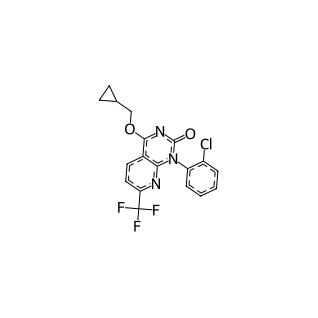 O=c1nc(OCC2CC2)c2ccc(C(F)(F)F)nc2n1-c1ccccc1Cl